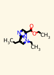 CCOC(=O)c1cnc2c(CC)cn(CC)n12